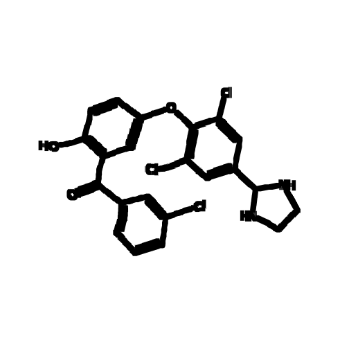 O=C(c1cccc(Cl)c1)c1cc(Oc2c(Cl)cc(C3NCCN3)cc2Cl)ccc1O